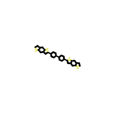 c1cc2cc3sc(-c4ccc(-c5ccc(-c6cc7cc8sccc8cc7s6)cc5)cc4)cc3cc2s1